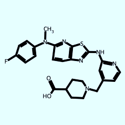 CN(c1ccc(F)cc1)c1ccc2nc(Nc3cc(CN4CCC(C(=O)O)CC4)ccn3)sc2n1